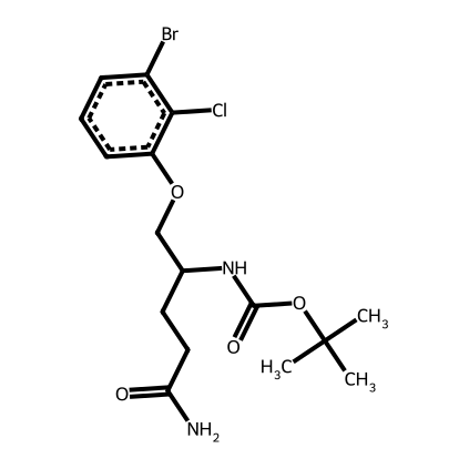 CC(C)(C)OC(=O)NC(CCC(N)=O)COc1cccc(Br)c1Cl